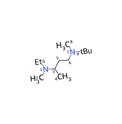 CCN(C)C(C)CCN(C)C(C)(C)C